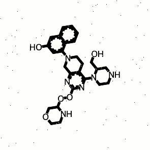 OCC1CNCCN1c1nc(OOC2COCCN2)nc2c1CCN(c1cc(O)cc3ccccc13)C2